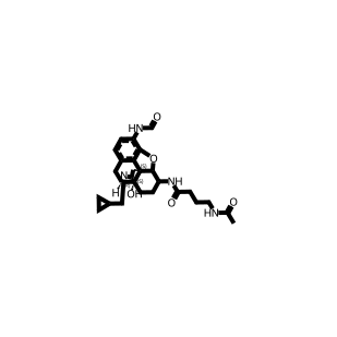 CC(=O)NCCCC(=O)NC1CC[C@@]2(O)[C@H]3Cc4ccc(NC=O)c5c4[C@@]2(CCN3CC2CC2)C1O5